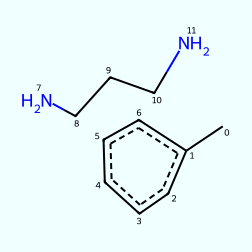 Cc1ccccc1.NCCCN